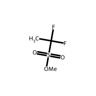 COS(=O)(=O)C(C)(F)F